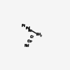 [BH2][Re].[Co].[Cr].[Nd].[Pd].[Pt]